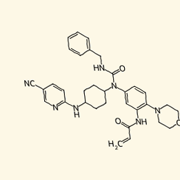 C=CC(=O)Nc1cc(N(C(=O)NCc2ccccc2)C2CCC(Nc3ccc(C#N)cn3)CC2)ccc1N1CCOCC1